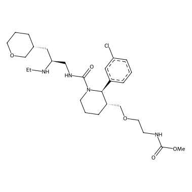 CCN[C@H](CNC(=O)N1CCC[C@@H](COCCNC(=O)OC)[C@@H]1c1cccc(Cl)c1)C[C@H]1CCCOC1